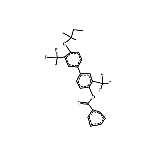 CCC(C)(C)Oc1ccc(-c2ccc(OC(=O)c3ccccc3)c(C(F)(F)F)c2)cc1C(F)(F)F